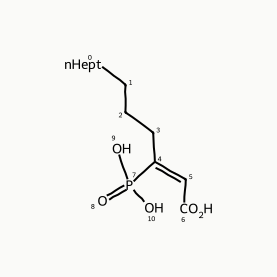 CCCCCCCCCC/C(=C/C(=O)O)P(=O)(O)O